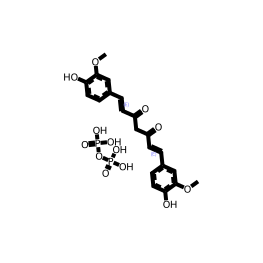 COc1cc(/C=C/C(=O)CC(=O)/C=C/c2ccc(O)c(OC)c2)ccc1O.O=P(O)(O)OP(=O)(O)O